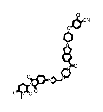 N#Cc1ccc(O[C@H]2CC[C@H](N3Cc4ccc(C(=O)N5CCN(CC6CN(c7ccc8c(c7)C(=O)N(C7CCC(=O)NC7=O)C8=O)C6)CC5)cc4C3)CC2)cc1Cl